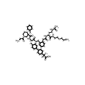 C=CC(=O)N1CCC[C@@](Cc2ccccc2)(C(=O)N[C@@H](Cc2ccc(-c3ccc(C(F)(F)C(=O)O)cc3)cc2)C(=O)NCc2ccccc2CC(=O)N[C@@H](CCNC(C)=O)C(=O)NCCOCCN)C1